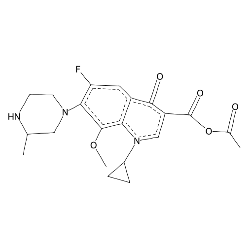 COc1c(N2CCNC(C)C2)c(F)cc2c(=O)c(C(=O)OC(C)=O)cn(C3CC3)c12